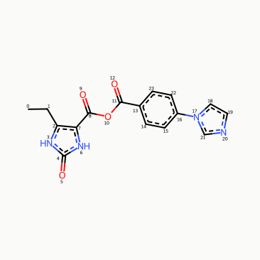 CCc1[nH]c(=O)[nH]c1C(=O)OC(=O)c1ccc(-n2ccnc2)cc1